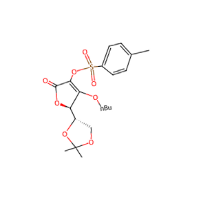 CCCCOC1=C(OS(=O)(=O)c2ccc(C)cc2)C(=O)O[C@@H]1[C@@H]1COC(C)(C)O1